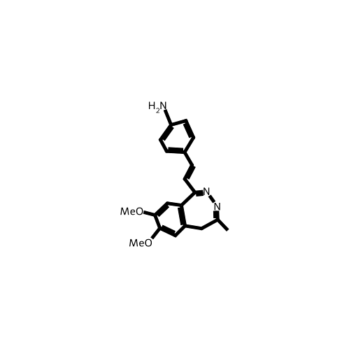 COc1cc2c(cc1OC)C(C=Cc1ccc(N)cc1)=NN=C(C)C2